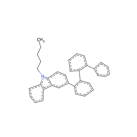 CCCCCn1c2ccccc2c2cc(-c3ccccc3-c3ccccc3-c3ccccc3)ccc21